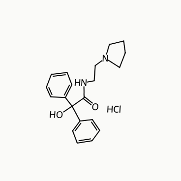 Cl.O=C(NCCN1CCCC1)C(O)(c1ccccc1)c1ccccc1